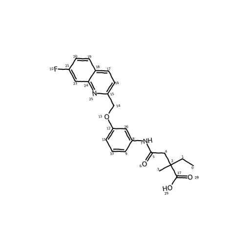 CCC(C)(CC(=O)Nc1cccc(OCc2ccc3ccc(F)cc3n2)c1)C(=O)O